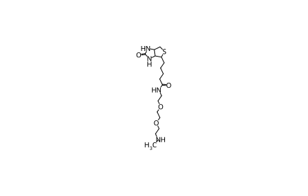 CNCCOCCOCCNC(=O)CCCCC1SCC2NC(=O)NC21